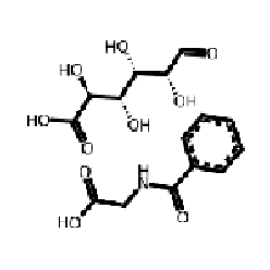 O=C(O)CNC(=O)c1ccccc1.O=C[C@H](O)[C@@H](O)[C@H](O)[C@H](O)C(=O)O